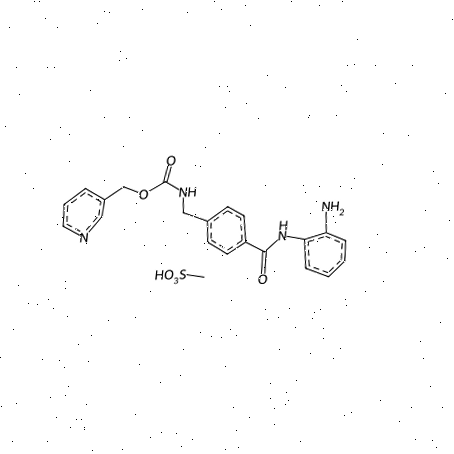 CS(=O)(=O)O.Nc1ccccc1NC(=O)c1ccc(CNC(=O)OCc2cccnc2)cc1